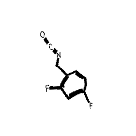 O=C=NCc1ccc(F)cc1F